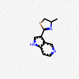 CC1CSC(c2c[nH]c3ccncc23)=N1